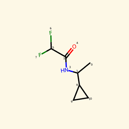 CC(NC(=O)C(F)F)C1CC1